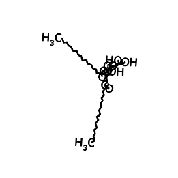 CCCCCCCC/C=C/CCCCCCCC(=O)OCC(COP(=O)(O)OCC(O)CO)OC(=O)CCCCCCC/C=C/CCCCCCCC